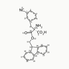 N#Cc1cccc(C[C@](N)(C(=O)O)C(=O)OCC2c3ccccc3-c3ccccc32)c1